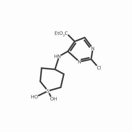 CCOC(=O)c1cnc(Cl)nc1NC1CCS(O)(O)CC1